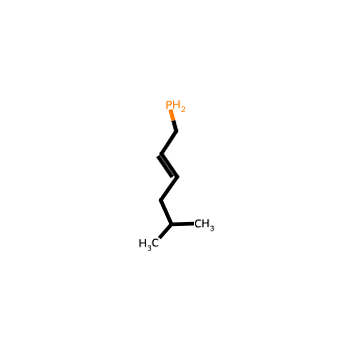 CC(C)CC=CCP